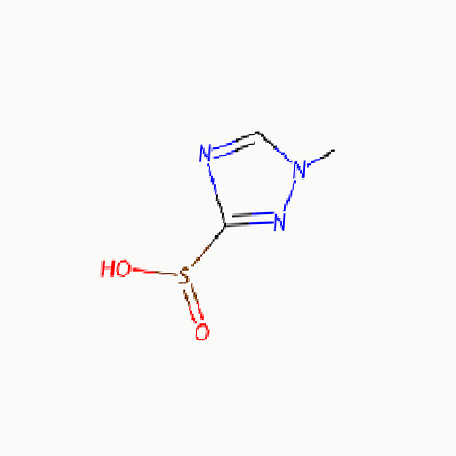 Cn1cnc(S(=O)O)n1